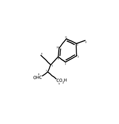 Cc1ccc(C(C)C(C=O)C(=O)O)cc1